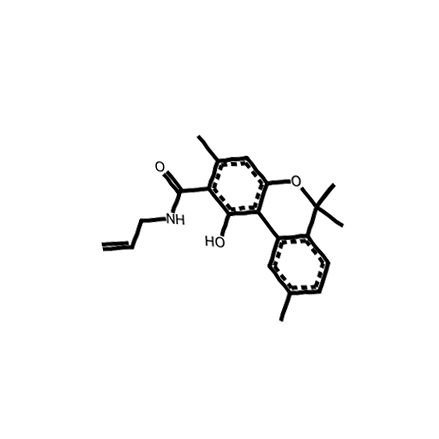 C=CCNC(=O)c1c(C)cc2c(c1O)-c1cc(C)ccc1C(C)(C)O2